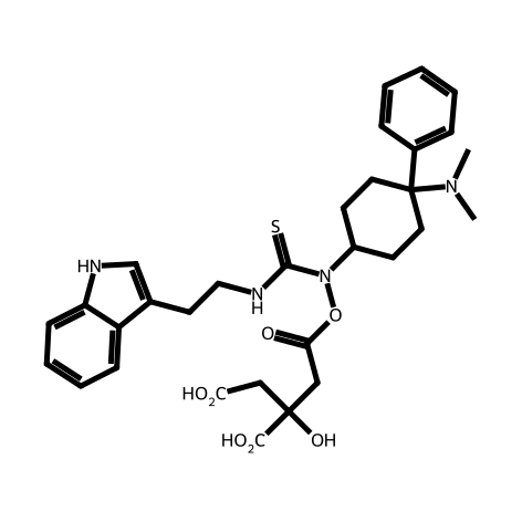 CN(C)C1(c2ccccc2)CCC(N(OC(=O)CC(O)(CC(=O)O)C(=O)O)C(=S)NCCc2c[nH]c3ccccc23)CC1